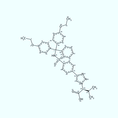 CCOc1ccc(C(NS(=O)(=O)c2ccc(-c3cn([C@H](C(=O)O)C(C)C)nn3)cc2)(c2ccccc2)c2ccc(OCC)cc2)cc1